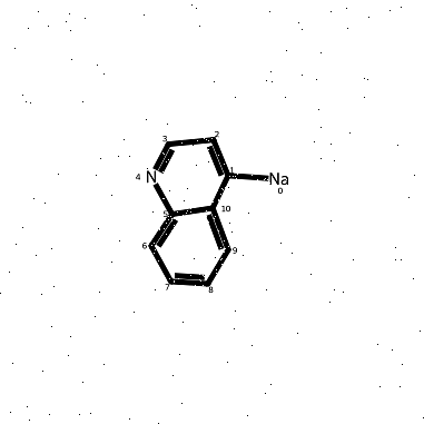 [Na][c]1ccnc2ccccc12